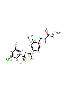 CSCC(=O)NCC1C=CC([C@@H]2CSC([C@@H]3C=C(Cl)C=C(Cl)C3)(C(F)(F)F)C2)=C[C@H]1C